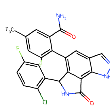 NC(=O)c1cc(C(F)(F)F)cc(F)c1-c1cc2cn[nH]c2c2c1C(c1cc(F)ccc1Cl)NC2=O